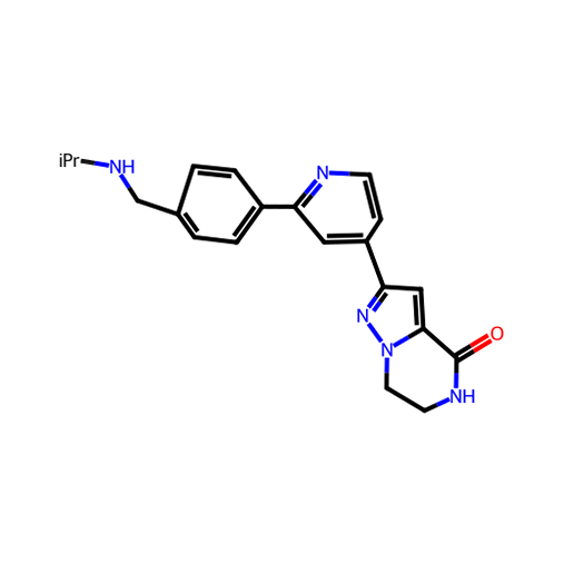 CC(C)NCc1ccc(-c2cc(-c3cc4n(n3)CCNC4=O)ccn2)cc1